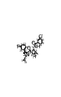 O=C(NC[C@@H]1C2C[C@H]2CN1C(=O)c1nc(C2CC2)sc1-c1cccc(F)c1)c1cccc(Cl)c1